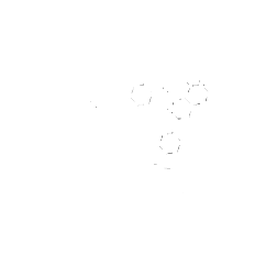 CCN1CCC(c2ccc(Nc3nc(-c4ccc(S(=O)(=O)C(C)C)cc4)cc4cc[nH]c(=O)c34)cc2)CC1